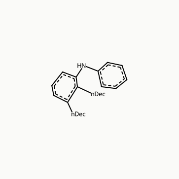 CCCCCCCCCCc1cccc(Nc2ccccc2)c1CCCCCCCCCC